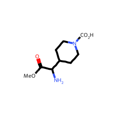 COC(=O)C(N)C1CCN(C(=O)O)CC1